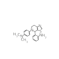 CN(C)c1ccc(N2CCc3ncsc3C2c2ccccc2N)cc1